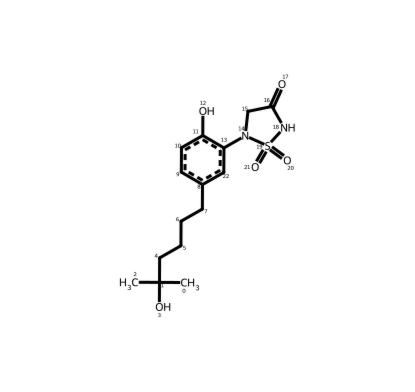 CC(C)(O)CCCCc1ccc(O)c(N2CC(=O)NS2(=O)=O)c1